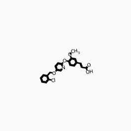 COc1cc(C=CC(=O)O)ccc1Oc1ccc(OCc2ccccc2Cl)cn1